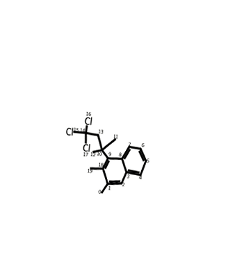 Cc1cc2ccccc2c(C(C)(C)CC(Cl)(Cl)Cl)c1C